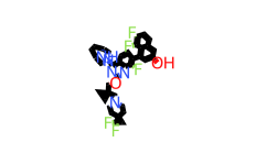 Oc1cc(-c2ccc3c(N4CC5CCC(C4)N5)nc(OCC4(CN5CCC6(CC5)CC6(F)F)CC4)nc3c2F)c2c(F)c(F)ccc2c1